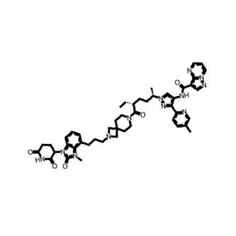 CC[C@H](CC[C@@H](C)n1cc(NC(=O)c2cnn3cccnc23)c(-c2ccc(C)cn2)n1)C(=O)N1CCC2(CC1)CN(CCCc1cccc3c1n(C)c(=O)n3C1CCC(=O)NC1=O)C2